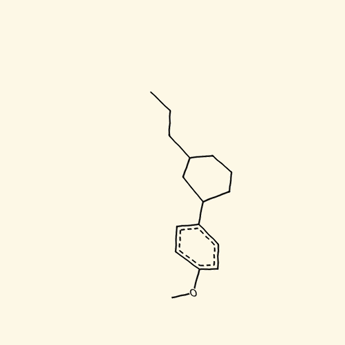 CCCC1CCCC(c2ccc(OC)cc2)C1